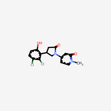 Cn1ccc(N2CC(c3c(O)ccc(Cl)c3Cl)CC2=O)cc1=O